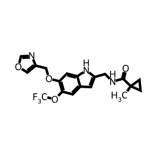 CC1(C(=O)NCc2cc3cc(OC(F)(F)F)c(OCc4cocn4)cc3[nH]2)CC1